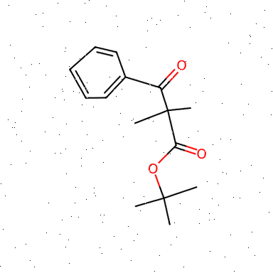 CC(C)(C)OC(=O)C(C)(C)C(=O)c1ccccc1